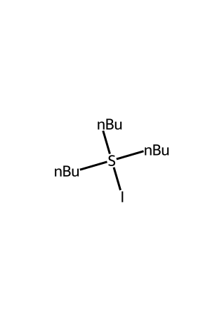 CCCCS(I)(CCCC)CCCC